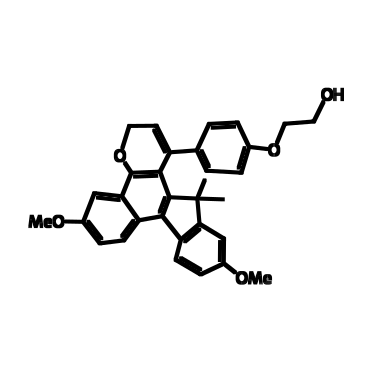 COc1ccc2c(c1)C(C)(C)c1c3c(c4cc(OC)ccc4c1-2)OCC=C3c1ccc(OCCO)cc1